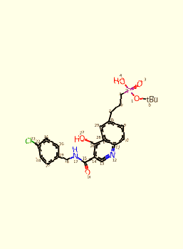 CC(C)(C)OP(=O)(O)CCCc1ccc2ncc(C(=O)NCc3ccc(Cl)cc3)c(O)c2c1